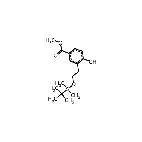 COC(=O)c1ccc(O)c(CCO[Si](C)(C)C(C)(C)C)c1